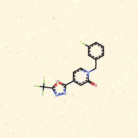 O=c1cc(-c2nnc(C(F)(F)F)o2)ccn1Cc1cccc(F)c1